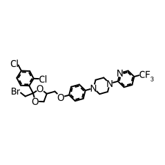 FC(F)(F)c1ccc(N2CCN(c3ccc(OCC4COC(CBr)(c5ccc(Cl)cc5Cl)O4)cc3)CC2)nc1